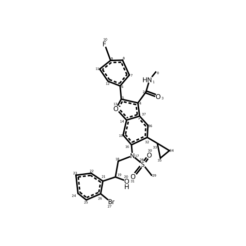 CNC(=O)c1c(-c2ccc(F)cc2)oc2cc(N(CC(O)c3ccccc3Br)S(C)(=O)=O)c(C3CC3)cc12